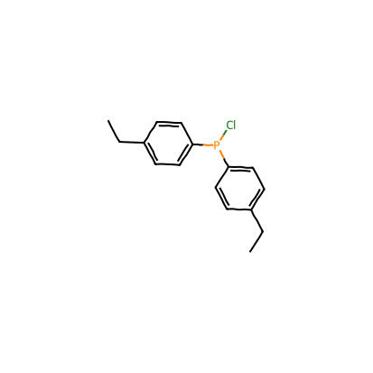 CCc1ccc(P(Cl)c2ccc(CC)cc2)cc1